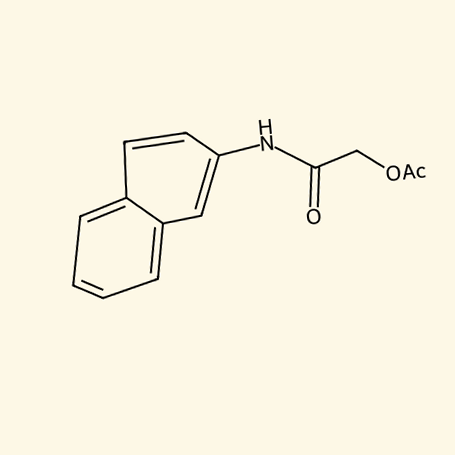 CC(=O)OCC(=O)Nc1ccc2ccccc2c1